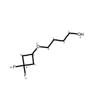 OCCCCOC1CC(F)(F)C1